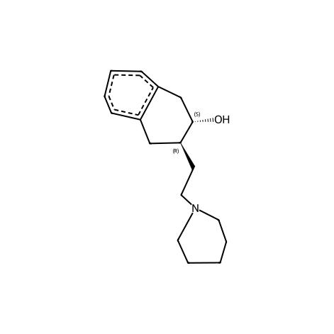 O[C@H]1Cc2ccccc2C[C@@H]1CCN1CCCCC1